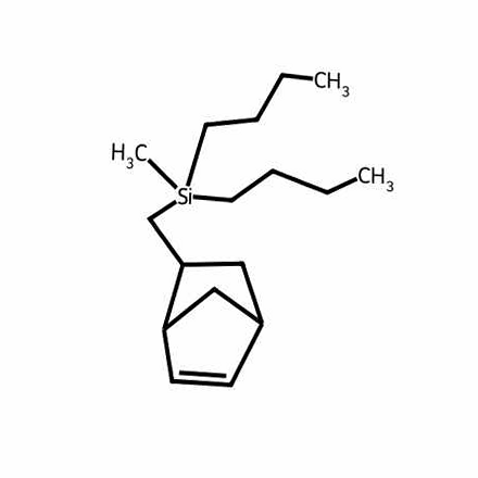 CCCC[Si](C)(CCCC)CC1CC2C=CC1C2